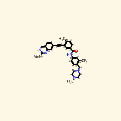 CNc1ncc2ccc(C#Cc3cc(C(=O)Nc4ccc(CN5CCN(C)CC5)c(C(F)(F)F)c4)ccc3C)cc2n1